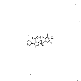 COc1c(I)cc(C(=O)Nc2csc(-c3cccc(C)c3)c2C(=O)O)c(I)c1I